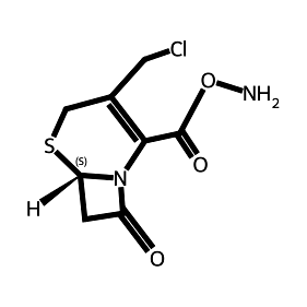 NOC(=O)C1=C(CCl)CS[C@H]2CC(=O)N12